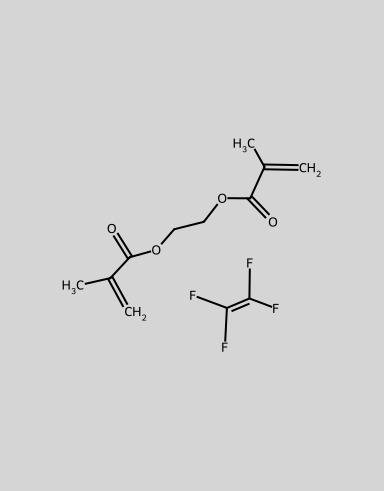 C=C(C)C(=O)OCCOC(=O)C(=C)C.FC(F)=C(F)F